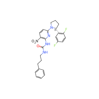 O=C(NCCCc1ccccc1)Nc1nc(N2CCC[C@@H]2c2cc(F)ccc2F)ccc1[N+](=O)[O-]